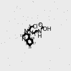 O=C(O)NCCn1c(CCl)nc2cnc3ccccc3c21